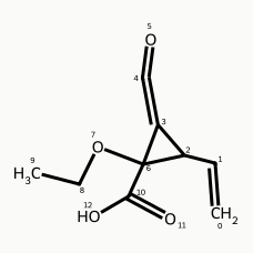 C=CC1C(=C=O)C1(OCC)C(=O)O